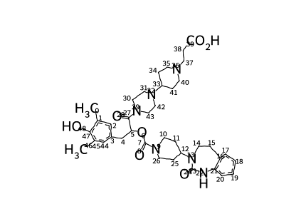 Cc1cc(CC(OC(=O)N2CCC(N3CCc4ccccc4NC3=O)CC2)C(=O)N2CCN(C3CCN(CCC(=O)O)CC3)CC2)cc(C)c1O